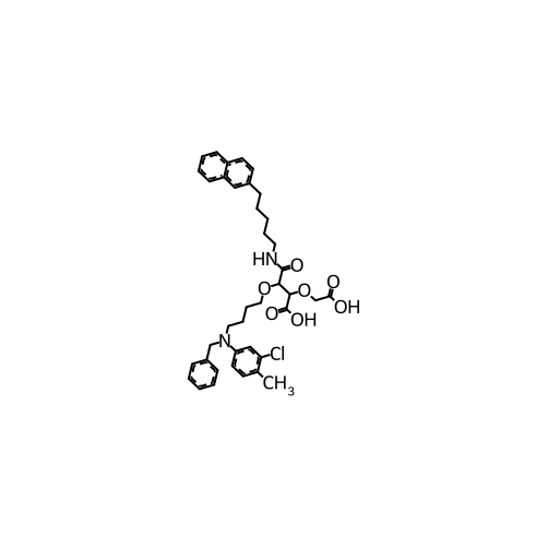 Cc1ccc(N(CCCCOC(C(=O)NCCCCCc2ccc3ccccc3c2)C(OCC(=O)O)C(=O)O)Cc2ccccc2)cc1Cl